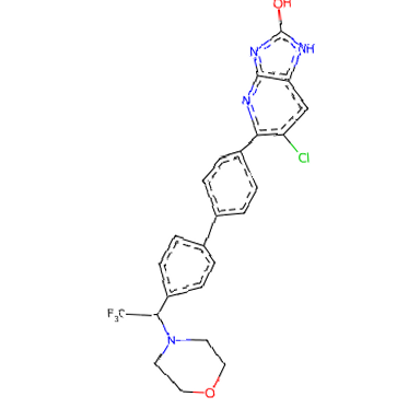 Oc1nc2nc(-c3ccc(-c4ccc(C(N5CCOCC5)C(F)(F)F)cc4)cc3)c(Cl)cc2[nH]1